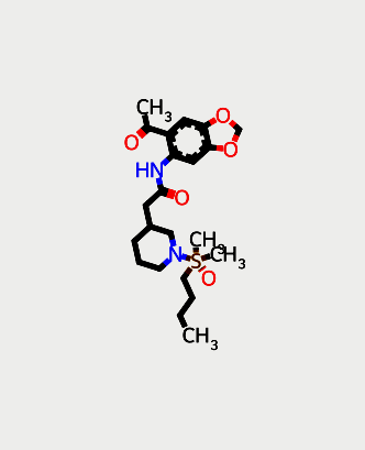 CCCCS(C)(C)(=O)N1CCCC(CC(=O)Nc2cc3c(cc2C(C)=O)OCO3)C1